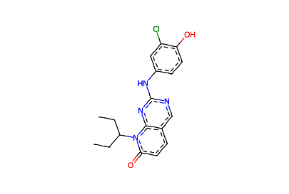 CCC(CC)n1c(=O)ccc2cnc(Nc3ccc(O)c(Cl)c3)nc21